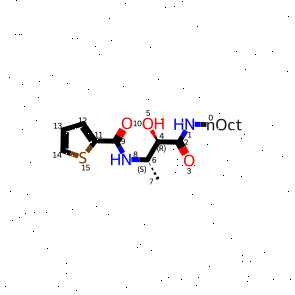 CCCCCCCCNC(=O)[C@H](O)[C@H](C)NC(=O)c1cccs1